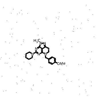 COc1ccc(CN2CCc3nn(C)c4nc(N5CCCCC5)nc2c34)cc1